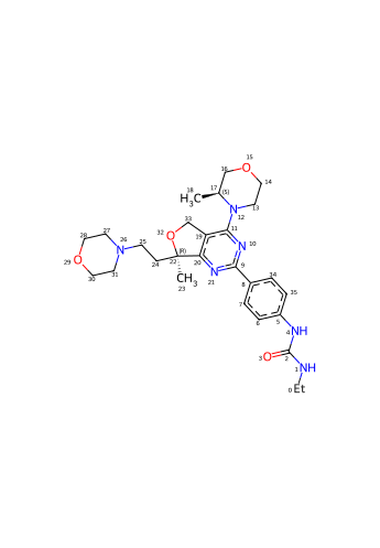 CCNC(=O)Nc1ccc(-c2nc(N3CCOC[C@@H]3C)c3c(n2)[C@@](C)(CCN2CCOCC2)OC3)cc1